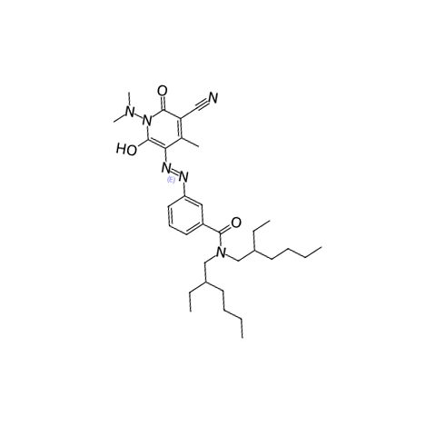 CCCCC(CC)CN(CC(CC)CCCC)C(=O)c1cccc(/N=N/c2c(C)c(C#N)c(=O)n(N(C)C)c2O)c1